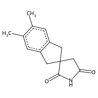 Cc1cc2c(cc1C)CC1(CC(=O)NC1=O)C2